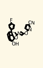 N#Cc1ccc(OC2CN(C(=O)C[C@]3(c4ccc(F)cc4)C4CC5CC3C[C@@](O)(C5)C4)C2)nc1